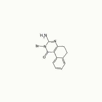 Nc1nc2c(c(=O)n1Br)-c1ccccc1CC2